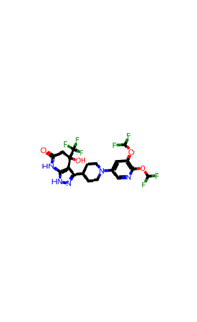 O=C1CC(O)(C(F)(F)F)c2c(C3CCN(c4cnc(OC(F)F)c(OC(F)F)c4)CC3)n[nH]c2N1